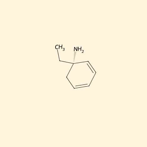 CC[C@@]1(N)C=CC=CC1